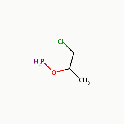 CC(CCl)OP